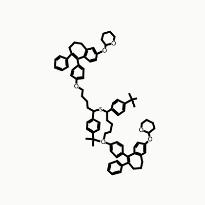 CC(C)(C)c1ccc(C(CCCCOc2ccc(C3=C(c4ccccc4)CCCc4cc(OC5CCCCO5)ccc43)cc2)SC(CCCCOc2ccc(C3=C(c4ccccc4)CCCc4cc(OC5CCCCO5)ccc43)cc2)c2ccc(C(C)(C)C)cc2)cc1